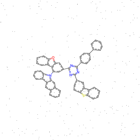 c1ccc(-c2ccc(-c3nc(-c4cc(-n5c6ccccc6c6cc7ccccc7cc65)c5c(c4)oc4ccccc45)nc(-c4ccc5sc6ccccc6c5c4)n3)cc2)cc1